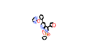 O=S(=O)(c1ccccc1)n1cc(-c2ccoc2)c2cc(-c3ccccc3Oc3ncccn3)cnc21